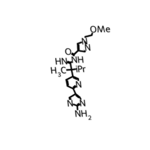 COCCn1cc(C(=O)NC(=N)C(C)(c2ccc(-c3cnc(N)nc3)nc2)C(C)C)cn1